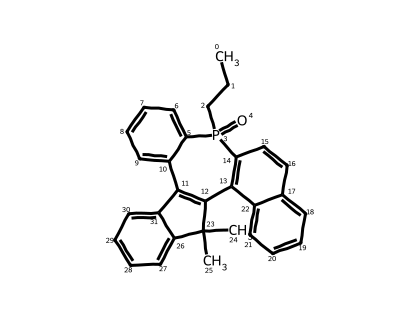 CCCP1(=O)c2ccccc2C2=C(c3c1ccc1ccccc31)C(C)(C)c1ccccc12